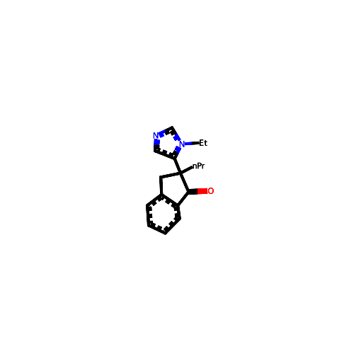 CCCC1(c2cncn2CC)Cc2ccccc2C1=O